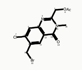 CC(=O)OCc1nc2cc(Cl)c(CBr)cc2c(=O)n1C